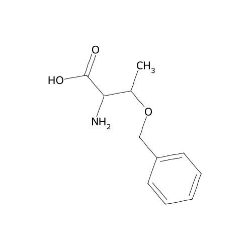 CC(OCc1ccccc1)C(N)C(=O)O